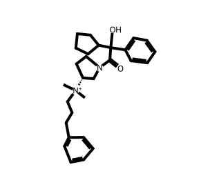 C[N+](C)(CCCc1ccccc1)[C@@H]1CCN(C(=O)C(O)(c2ccccc2)C2CCCC2)C1